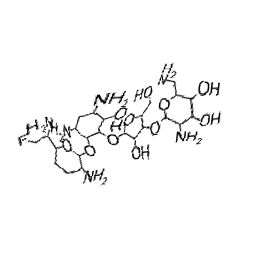 NCC1OC(OC2C(CO)OC(OC3C(O)C(N)CC(N)C3OC3OC(C(N)CF)CCC3N)C2O)C(N)C(O)C1O